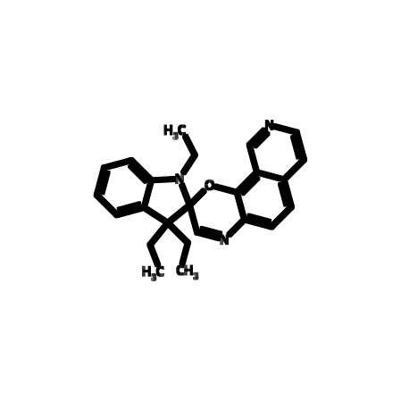 CCN1c2ccccc2C(CC)(CC)C12C=Nc1ccc3ccncc3c1O2